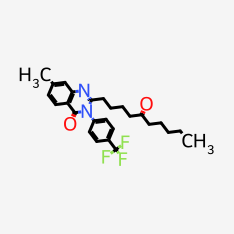 CCCCCC(=O)CCCCc1nc2cc(C)ccc2c(=O)n1-c1ccc(C(F)(F)F)cc1